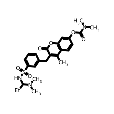 CCC(NS(=O)(=O)c1cccc(Cc2c(C)c3ccc(OC(=O)N(C)C)cc3oc2=O)c1)N(C)C